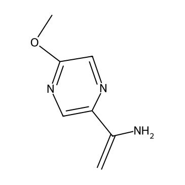 C=C(N)c1cnc(OC)cn1